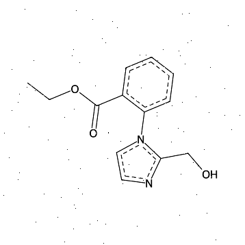 CCOC(=O)c1ccccc1-n1ccnc1CO